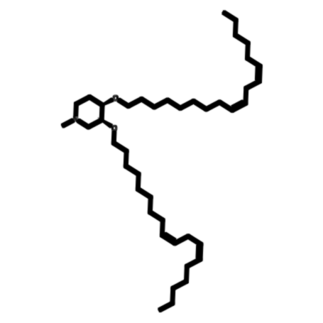 CCCCC/C=C\C/C=C\CCCCCCCCO[C@H]1CN(C)CC[C@H]1OCCCCCCCC/C=C\C/C=C\CCCCC